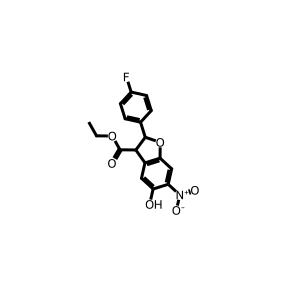 CCOC(=O)C1c2cc(O)c([N+](=O)[O-])cc2OC1c1ccc(F)cc1